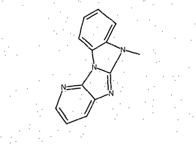 Cn1c2ccccc2n2c3ncccc3nc12